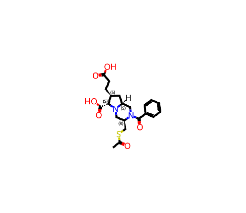 CC(=O)SC[C@H]1CN2[C@@H](C[C@H](CCC(=O)O)[C@H]2C(=O)O)CN1C(=O)c1ccccc1